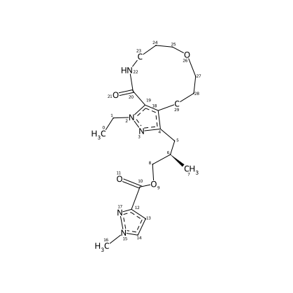 CCn1nc(C[C@@H](C)COC(=O)c2ccn(C)n2)c2c1C(=O)NCCCOCCC2